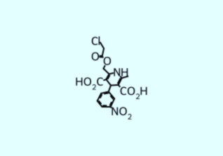 CC1=C(C(=O)O)C(c2cccc([N+](=O)[O-])c2)C(C(=O)O)=C(COC(=O)CCl)N1